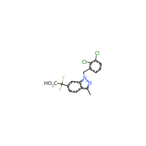 Cc1nn(Cc2cccc(Cl)c2Cl)c2cc(C(F)(F)C(=O)O)ccc12